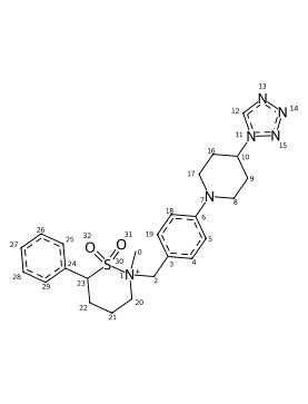 C[N+]1(Cc2ccc(N3CCC(n4cnnn4)CC3)cc2)CCCC(c2ccccc2)S1(=O)=O